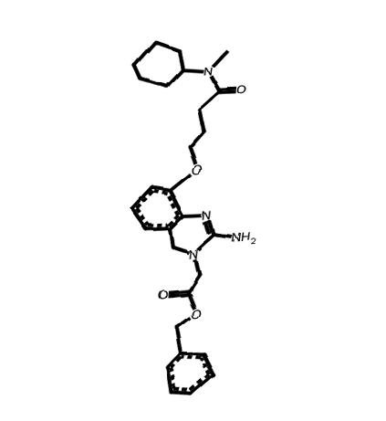 CN(C(=O)CCCOc1cccc2c1N=C(N)N(CC(=O)OCc1ccccc1)C2)C1CCCCC1